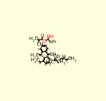 C=C(C)C(=O)O.C=C(C)C(=O)OC(O)CCC.C=CC=C.C=Cc1ccccc1.C=Cc1ccccc1C=C